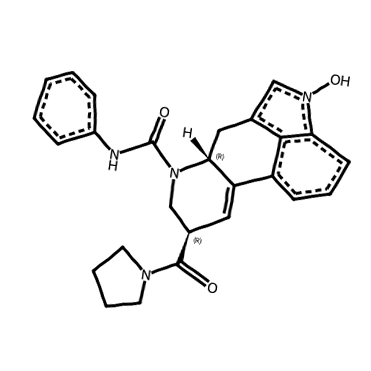 O=C([C@@H]1C=C2c3cccc4c3c(cn4O)C[C@H]2N(C(=O)Nc2ccccc2)C1)N1CCCC1